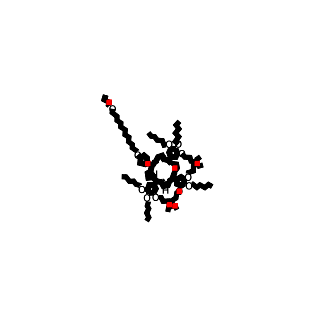 C=CCCOCCCCCCCCCCCCOc1ccc(-c2c3nc(c(-c4cc(OCCCCCC)c(OCCCCCC)c(OCCCCCC)c4)c4ccc([nH]4)c(-c4cc(OCCCCCC)c(OCCCCCC)c(OCCCCCC)c4)c4nc(c(-c5cc(OCCCCCC)c(OCCCCCC)c(OCCCCCC)c5)c5ccc2[nH]5)C=C4)C=C3)cc1